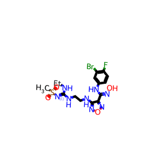 CCN/C(=N\S(C)(=O)=O)NCCNc1nonc1/C(=N/O)Nc1ccc(F)c(Br)c1